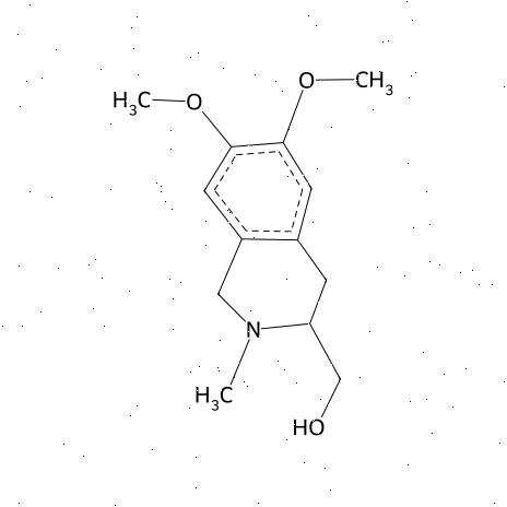 COc1cc2c(cc1OC)CN(C)C(CO)C2